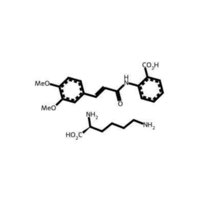 COc1ccc(/C=C/C(=O)Nc2ccccc2C(=O)O)cc1OC.NCCCC[C@H](N)C(=O)O